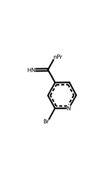 CCCC(=N)c1ccnc(Br)c1